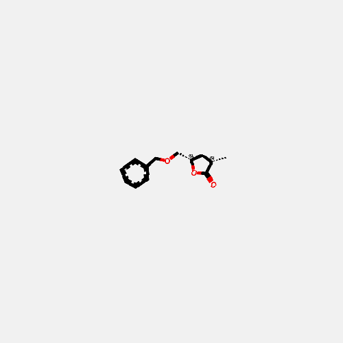 C[C@H]1C[C@@H](COCc2ccccc2)OC1=O